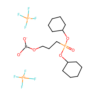 F[P+](F)(F)F.F[P+](F)(F)F.O=P(CCCOB([O-])[O-])(OC1CCCCC1)OC1CCCCC1